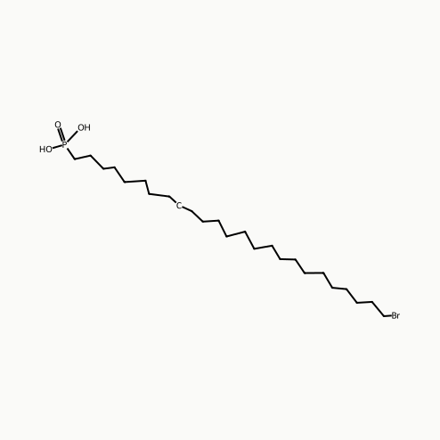 O=P(O)(O)CCCCCCCCCCCCCCCCCCCCCCCCCBr